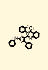 Cc1ccccc1-n1c(-c2sc(Nc3ccccc3)nc2-c2ccccc2)nc2ccccc2c1=O